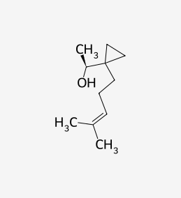 CC(C)=CCCC1([C@H](C)O)CC1